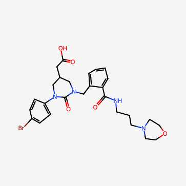 O=C(O)CC1CN(Cc2ccccc2C(=O)NCCCN2CCOCC2)C(=O)N(c2ccc(Br)cc2)C1